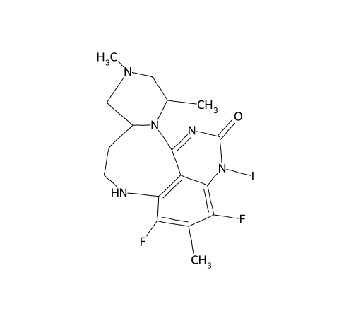 Cc1c(F)c2c3c(nc(=O)n(I)c3c1F)N1C(C)CN(C)CC1CCN2